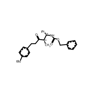 CC(C)[C@@H](NC(=O)OCc1ccccc1)[C@@H](C)C(=O)CCc1ccc(C(C)(C)C)cc1